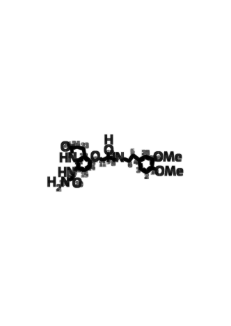 COc1ccc(CCNCC(O)COc2ccc(NC(N)=O)c3c2CCC(=O)N3)cc1OC